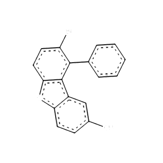 Cc1ccc2sc3ccc(Br)c(-c4ccccc4)c3c2c1